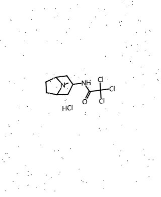 CN1C2CCC1CC(NC(=O)C(Cl)(Cl)Cl)C2.Cl